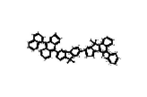 CC1(C)c2ccc(-c3c4ccccc4c(-c4cccc5ccccc45)c4ccccc34)cc2-c2ccc(-c3ccc4c(c3)C(C)(C)c3c-4c4oc5ccccc5c4c4ccccc34)cc21